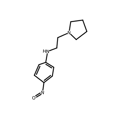 O=Nc1ccc(NCCN2CCCC2)cc1